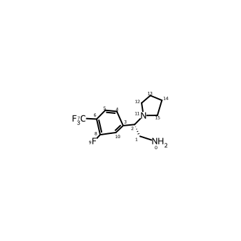 NC[C@H](c1ccc(C(F)(F)F)c(F)c1)N1CCCC1